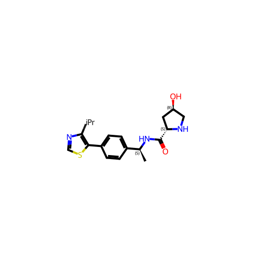 CC(C)c1ncsc1-c1ccc([C@H](C)NC(=O)[C@@H]2C[C@@H](O)CN2)cc1